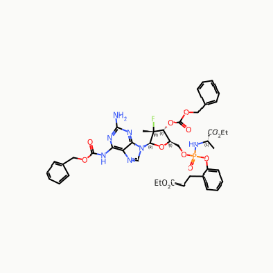 CCOC(=O)CCc1ccccc1OP(=O)(N[C@@H](C)C(=O)OCC)OC[C@H]1O[C@@H](n2cnc3c(NC(=O)OCc4ccccc4)nc(N)nc32)[C@](C)(F)[C@@H]1OC(=O)OCc1ccccc1